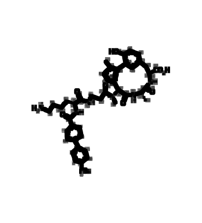 CCCCc1ccc(-c2ccc(C(=O)N[C@@H](CCCCN)C(=O)NCCC(=O)N(C)[C@@H]3C(=O)N[C@@H](C)C(=O)N[C@H](C(=O)O)Cc4ccc(O)c(c4)-c4cc3ccc4C)cc2)cc1